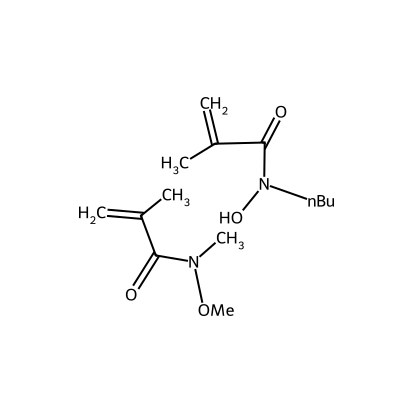 C=C(C)C(=O)N(C)OC.C=C(C)C(=O)N(O)CCCC